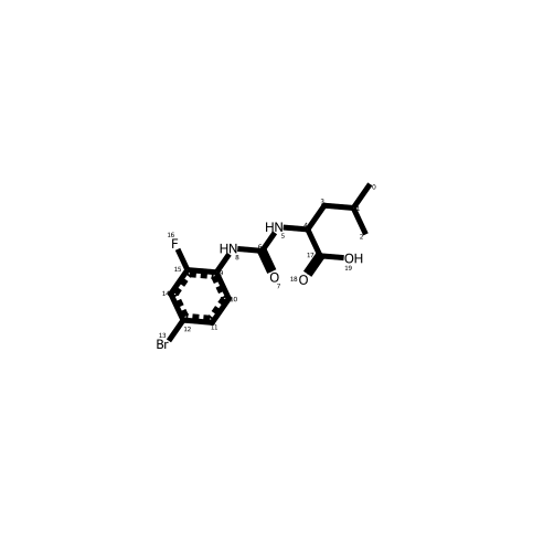 CC(C)CC(NC(=O)Nc1ccc(Br)cc1F)C(=O)O